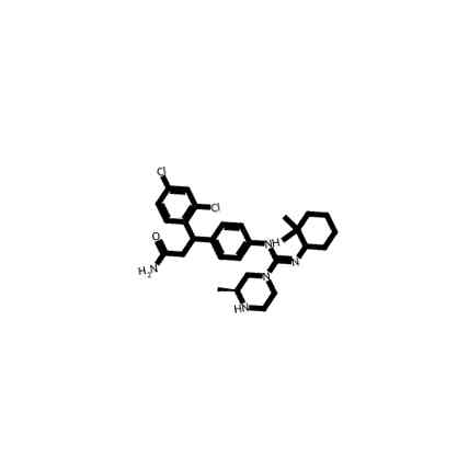 C[C@H]1CN(/C(=N/C2CCCCC2(C)C)Nc2ccc(C(CC(N)=O)c3ccc(Cl)cc3Cl)cc2)CCN1